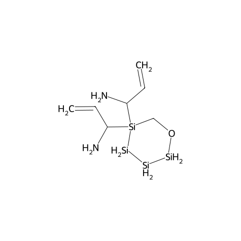 C=CC(N)[Si]1(C(N)C=C)CO[SiH2][SiH2][SiH2]1